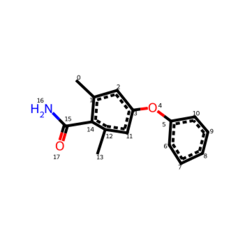 Cc1cc(Oc2ccccc2)cc(C)c1C(N)=O